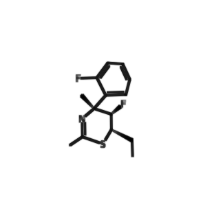 CC[C@H]1SC(C)=N[C@](C)(c2ccccc2F)[C@H]1F